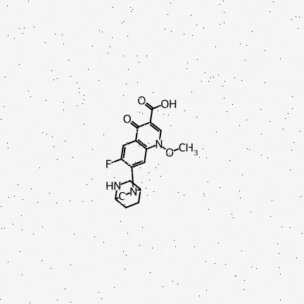 COn1cc(C(=O)O)c(=O)c2cc(F)c(N3CC4CCC3CN4)cc21